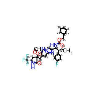 CC[C@@H](c1ccc(F)cc1)[C@H](NC(=O)OCc1ccccc1)c1cn2ncc(CC3(C(=O)OC)C[C@@H](C(F)(F)F)NC3=O)cc2n1